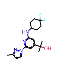 Cc1ccn(-c2cc(C(C)(C)O)cc(NC3CCC(F)(F)CC3)n2)n1